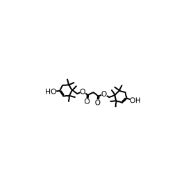 CC1(C)C=C(O)CC(C)(C)C1(C)COC(=O)CC(=O)OCC1(C)C(C)(C)C=C(O)CC1(C)C